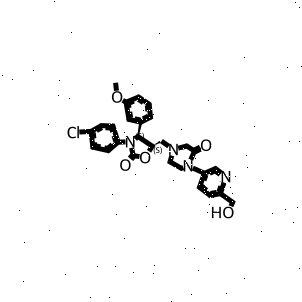 COc1cccc([C@H]2[C@H](CN3CCN(c4ccc(CO)nc4)C(=O)C3)OC(=O)N2c2ccc(Cl)cc2)c1